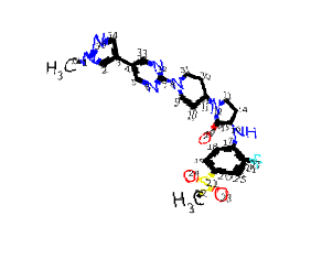 Cn1cc(-c2cnc(N3CCC(N4CC[C@H](Nc5ccc(S(C)(=O)=O)cc5F)C4=O)CC3)nc2)cn1